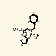 CO[C@H](CN(Cc1ccccc1)C(=O)O)[C@@H]1C=CCO1